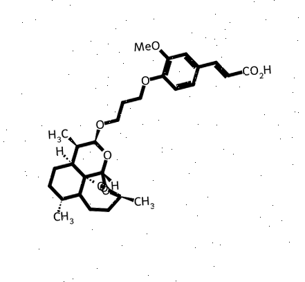 COc1cc(C=CC(=O)O)ccc1OCCCO[C@H]1O[C@@H]2O[C@@]3(C)CCC4[C@H](C)CC[C@@H]([C@H]1C)[C@]42OO3